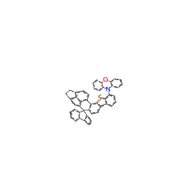 c1ccc2c(c1)Oc1ccccc1N2c1cccc2c1sc1c3c(ccc12)C1(c2ccccc2-c2ccccc21)c1ccc2c4c(ccc-3c14)CC2